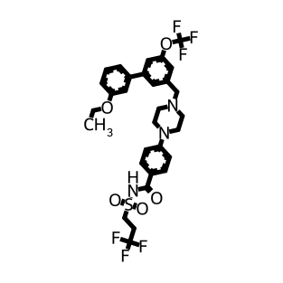 CCOc1cccc(-c2cc(CN3CCN(c4ccc(C(=O)NS(=O)(=O)CCC(F)(F)F)cc4)CC3)cc(OC(F)(F)F)c2)c1